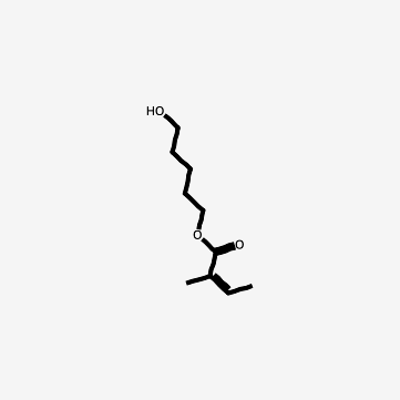 CC=C(C)C(=O)OCCCCCO